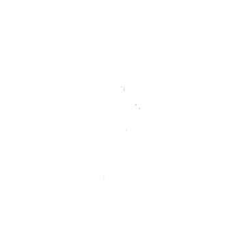 C#CCC(C#N)(Cc1cccnc1)c1ccc(Cl)cc1Cl